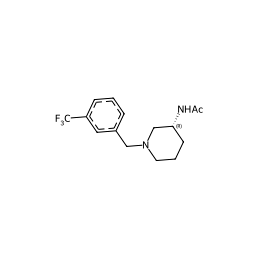 CC(=O)N[C@@H]1CCCN(Cc2cccc(C(F)(F)F)c2)C1